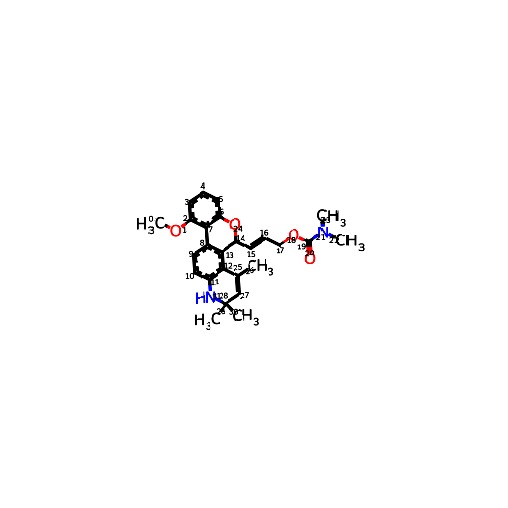 COc1cccc2c1-c1ccc3c(c1C(/C=C/COC(=O)N(C)C)O2)C(C)=CC(C)(C)N3